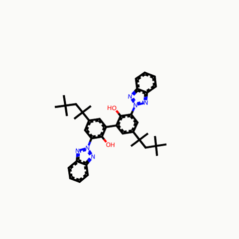 CC(C)(C)CC(C)(C)c1cc(-c2cc(C(C)(C)CC(C)(C)C)cc(-n3nc4ccccc4n3)c2O)c(O)c(-n2nc3ccccc3n2)c1